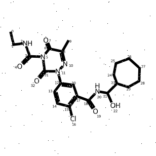 CCNC(=O)n1c(=O)c(C)nn(-c2ccc(Cl)c(C(=O)NC(O)C3CCCCCC3)c2)c1=O